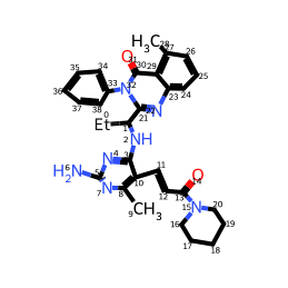 CCC(Nc1nc(N)nc(C)c1/C=C/C(=O)N1CCCCC1)c1nc2cccc(C)c2c(=O)n1-c1ccccc1